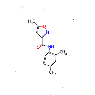 Cc1ccc(NC(=O)c2cc(C)on2)c(C)c1